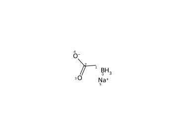 B.CC(=O)[O-].[Na+]